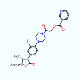 CC(=O)N[C@@H]1OC(=O)C(c2ccc(N3CCN(C(=O)COC(=O)c4cccnc4)CC3)c(F)c2)C1C